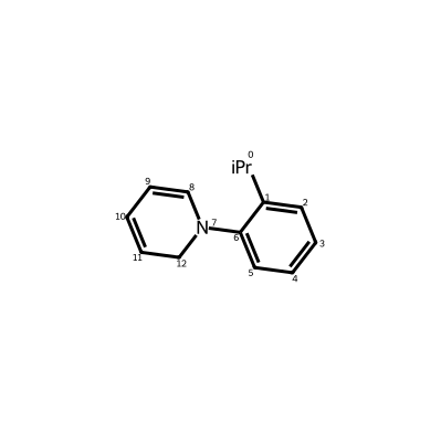 CC(C)c1ccccc1N1C=CC=CC1